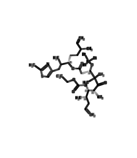 C=CC[C@H](C)[C@H](OC(=O)OCC(Cl)(Cl)Cl)[C@@H](C)C(=O)C(C)(C)[C@H](CC(=O)O[C@@H](CCC(C)C=C)C(C)Cc1csc(C)n1)O[Si](CC)(CC)CC